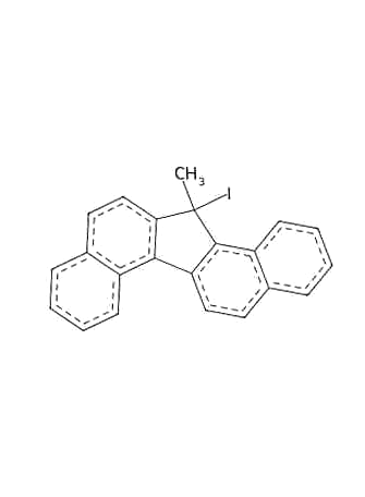 CC1(I)c2ccc3ccccc3c2-c2ccc3ccccc3c21